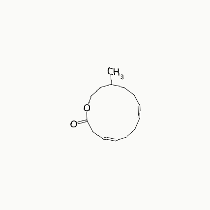 CC1CCC=CCCC=CCC(=O)OCC1